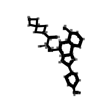 COc1ccc(-c2nc3c4cccc(Br)c4nc(N[C@H](C)C(=O)N4CC5(COC5)C4)n3n2)cc1